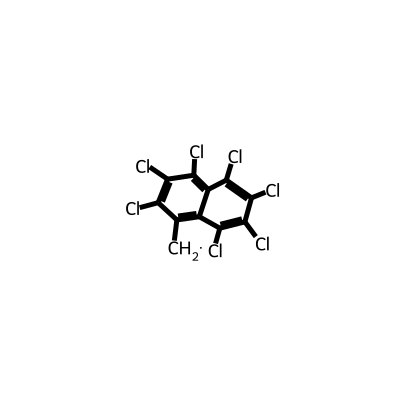 [CH2]c1c(Cl)c(Cl)c(Cl)c2c(Cl)c(Cl)c(Cl)c(Cl)c12